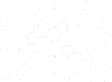 Cn1cc(-c2cn3nccc3c(-c3cn(C4CCC4)nc3N)n2)c(N)n1